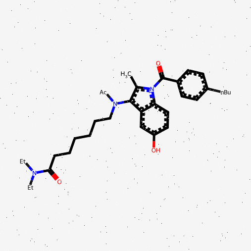 CCCCc1ccc(C(=O)n2c(C)c(N(CCCCCCC(=O)N(CC)CC)C(C)=O)c3cc(O)ccc32)cc1